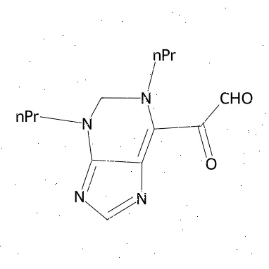 CCCN1CN(CCC)C(C(=O)C=O)=C2N=CN=C21